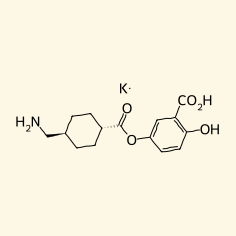 NC[C@H]1CC[C@H](C(=O)Oc2ccc(O)c(C(=O)O)c2)CC1.[K]